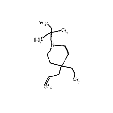 C=CCC1(CC)CCN(C(C)(C)C)CC1